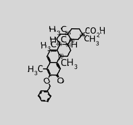 CC1=C(OCc2ccccc2)C(=O)C=C2C1=CC=C1[C@@]2(C)CC[C@@]2(C)[C@@H]3C[C@](C)(C(=O)O)CC[C@]3(C)CC[C@]12C